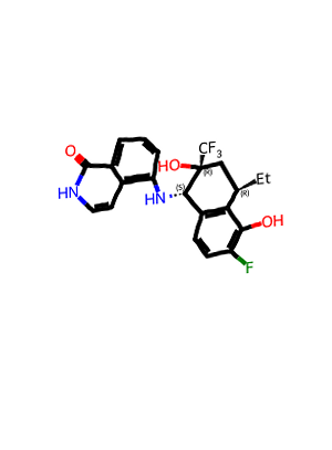 CC[C@@H]1C[C@](O)(C(F)(F)F)[C@@H](Nc2cccc3c(=O)[nH]ccc23)c2ccc(F)c(O)c21